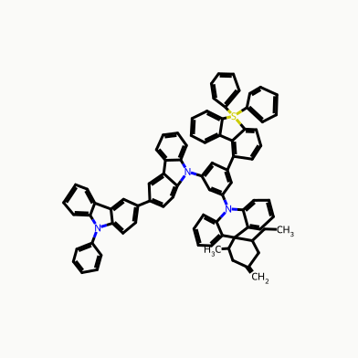 C=C1CC(C)C2(c3ccccc3N(c3cc(-c4cccc5c4-c4ccccc4S5(c4ccccc4)c4ccccc4)cc(-n4c5ccccc5c5cc(-c6ccc7c(c6)c6ccccc6n7-c6ccccc6)ccc54)c3)c3ccccc32)C(CC)C1